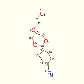 COCCOC1COC(C2CCC(C#N)CC2)OC1